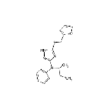 CCC(C)N(c1ccccc1)c1n[nH]c(SCc2ccco2)n1